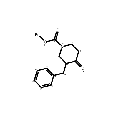 CC(C)(C)OC(=O)N1CCC(=O)C(Cc2ccccc2)C1